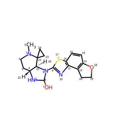 CN1CC[C@H]2NC(O)N(c3nc4c5c(ccc4s3)OCC5)[C@@H]2C12CC2